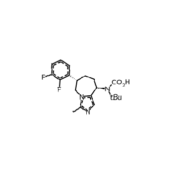 Cc1ncc2n1C[C@H](c1cccc(F)c1F)CC[C@H]2N(C(=O)O)C(C)(C)C